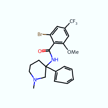 COc1cc(C(F)(F)F)cc(Br)c1C(=O)NC1(c2ccccc2)CCCN(C)C1